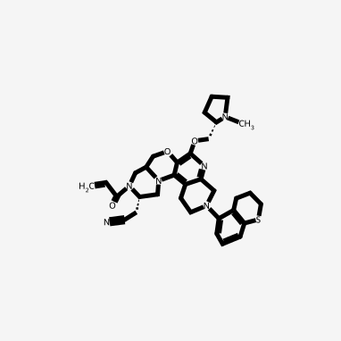 C=CC(=O)N1CC2COc3c(OC[C@@H]4CCCN4C)nc4c(c3N2C[C@@H]1CC#N)CCN(c1cccc2c1CCCS2)C4